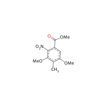 COC(=O)c1cc(OC)c(C)c(OC)c1[N+](=O)[O-]